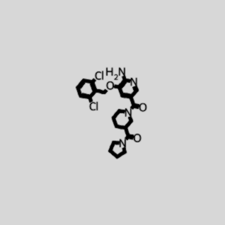 Nc1ncc(C(=O)N2CCCC(C(=O)N3CCCC3)C2)cc1OCc1c(Cl)cccc1Cl